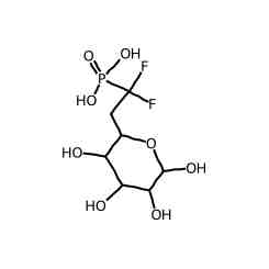 O=P(O)(O)C(F)(F)CC1OC(O)C(O)C(O)C1O